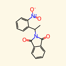 CC(c1ccccc1[N+](=O)[O-])N1C(=O)c2ccccc2C1=O